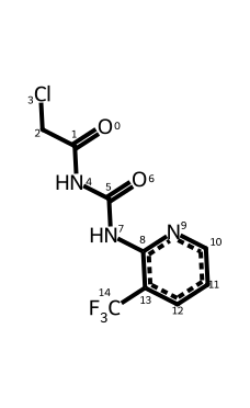 O=C(CCl)NC(=O)Nc1ncccc1C(F)(F)F